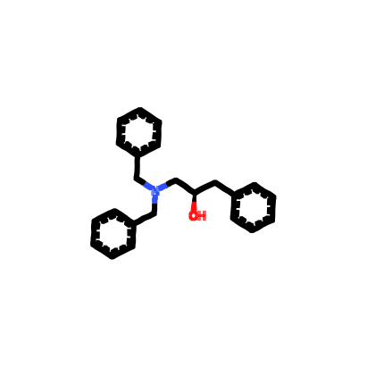 O[C@H](Cc1ccccc1)CN(Cc1ccccc1)Cc1ccccc1